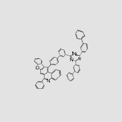 c1ccc(-c2cccc(-c3nc(-c4cccc(-c5ccccc5)c4)nc(-c4cccc(-c5ccc(-c6c7c(cc8c(-c9ccccc9)nc9ccccc9c68)oc6ccccc67)cc5)c4)n3)c2)cc1